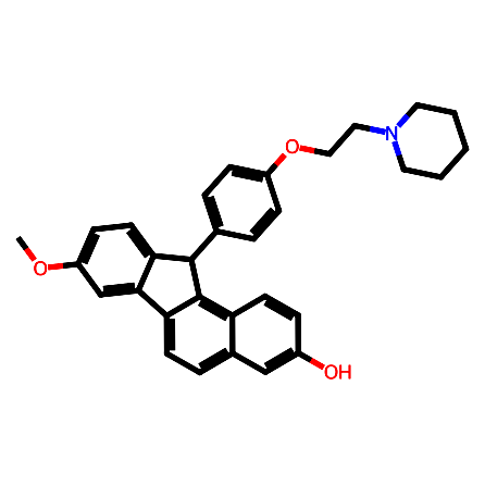 COc1ccc2c(c1)-c1ccc3cc(O)ccc3c1C2c1ccc(OCCN2CCCCC2)cc1